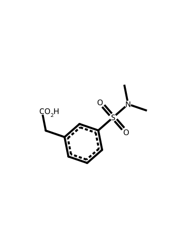 CN(C)S(=O)(=O)c1cccc(CC(=O)O)c1